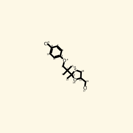 CC(C)(COc1ccc(Cl)cc1)C1(C)OC(CCl)CS1